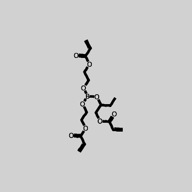 C=CC(=O)OCCOB(OCCOC(=O)C=C)OC(CC)COC(=O)C=C